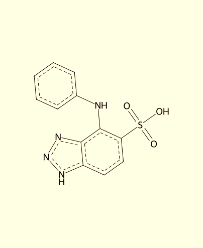 O=S(=O)(O)c1ccc2[nH]nnc2c1Nc1ccccc1